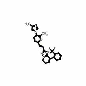 Cc1cn(-c2ccc(/C=C/c3nc4n(n3)CCC=C4c3ccccc3C(F)(F)F)nc2C)cn1